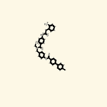 Cc1ccc(-c2ccc(C(=O)Oc3ccc(CN(CC(=O)O)C(=O)c4ccc(NC(=O)Cc5ccccc5C(F)(F)F)cc4)cc3)cc2)cc1